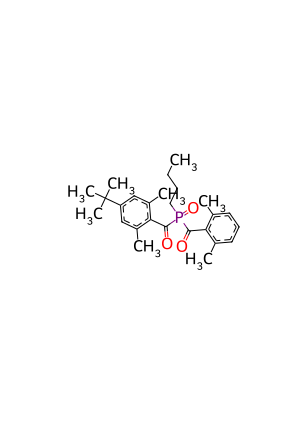 CCCCP(=O)(C(=O)c1c(C)cccc1C)C(=O)c1c(C)cc(C(C)(C)C)cc1C